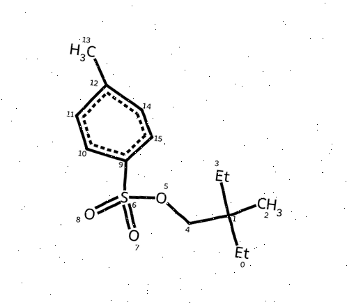 CCC(C)(CC)COS(=O)(=O)c1ccc(C)cc1